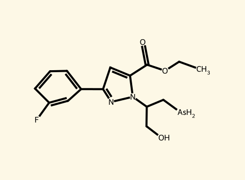 CCOC(=O)c1cc(-c2cccc(F)c2)nn1C(CO)C[AsH2]